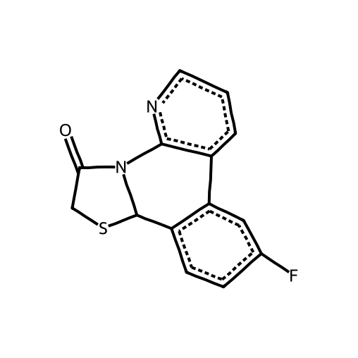 O=C1CSC2c3ccc(F)cc3-c3cccnc3N12